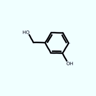 OCc1cc[c]c(O)c1